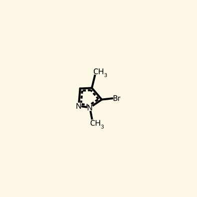 Cc1cnn(C)c1Br